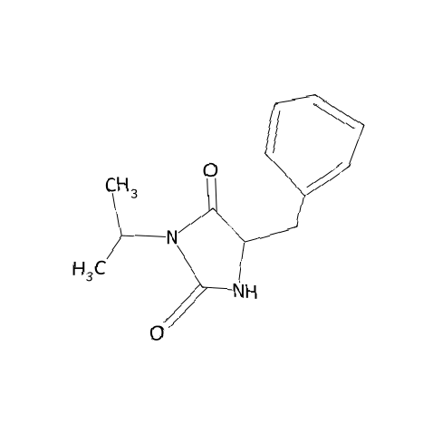 CC(C)N1C(=O)NC(Cc2ccccc2)C1=O